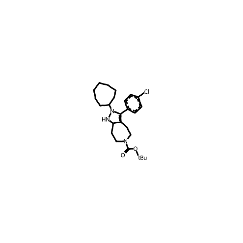 CC(C)(C)OC(=O)N1CCC2=C(c3ccc(Cl)cc3)N(C3CCCCCCC3)NC2CC1